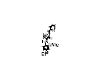 CCOc1ccc(CNC(=O)C(=O)NCCC2=NCCC=C2)c(OC)c1